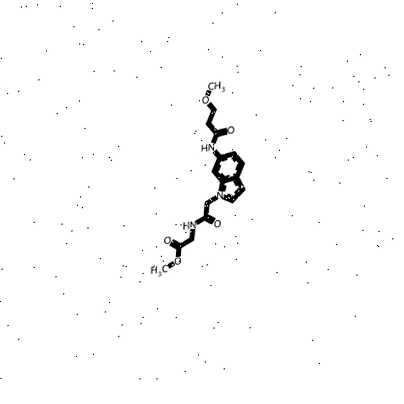 COCCC(=O)Nc1ccc2ccn(CC(=O)NCC(=O)OC)c2c1